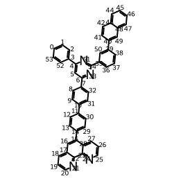 c1ccc(-c2cc(-c3ccc(-c4ccc(-c5cc6cccnc6c6ncccc56)cc4)cc3)nc(-c3cccc(-c4ccc5ccccc5c4)c3)n2)cc1